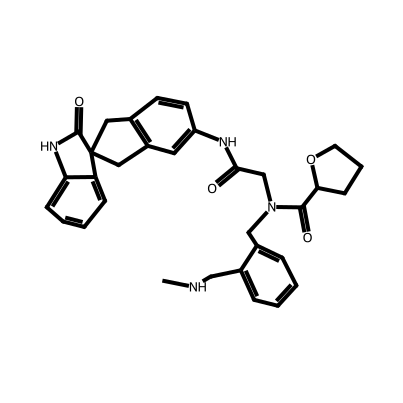 CNCc1ccccc1CN(CC(=O)Nc1ccc2c(c1)CC1(C2)C(=O)Nc2ccccc21)C(=O)C1CCCO1